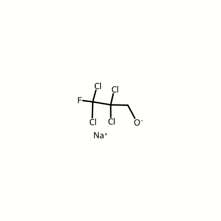 [Na+].[O-]CC(Cl)(Cl)C(F)(Cl)Cl